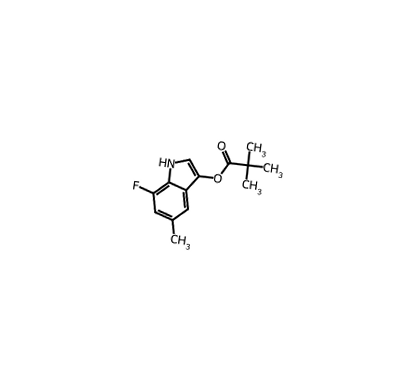 Cc1cc(F)c2[nH]cc(OC(=O)C(C)(C)C)c2c1